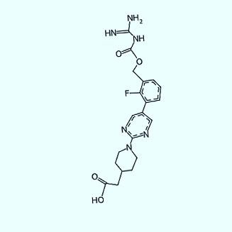 N=C(N)NC(=O)OCc1cccc(-c2cnc(N3CCC(CC(=O)O)CC3)nc2)c1F